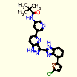 CC(C)(C)C(=O)Nc1cncc(-c2ccc3[nH]nc(-c4nc5c(-c6ccc(Cl)s6)cccc5[nH]4)c3n2)c1